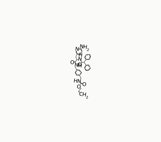 C=CCOC(=O)NCc1ccc(CNC(=O)C(Cc2ccc(N)nc2)NC(=O)C(c2ccccc2)c2ccccc2)cc1